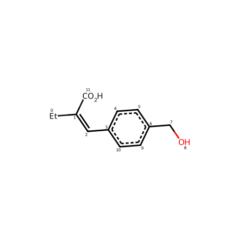 CCC(=Cc1ccc(CO)cc1)C(=O)O